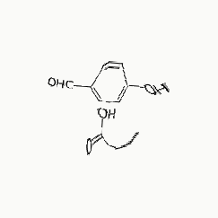 CCC(=O)O.O=Cc1ccc(O)cc1